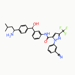 CC(C)CC(N)c1ccc(C(O)c2cccc(NC(=O)c3cc(C(F)(F)F)nn3-c3cccc(C#N)c3)c2)cc1